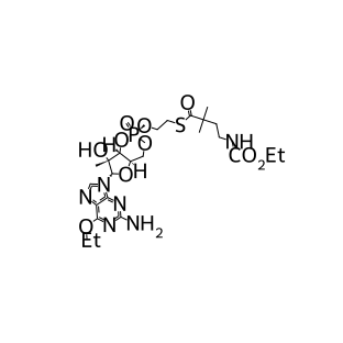 CCOC(=O)NCCC(C)(C)C(=O)SCCO[P@@]1(=O)OC[C@H]2O[C@@H](n3cnc4c(OCC)nc(N)nc43)[C@](C)(O)[C@@H]2O1